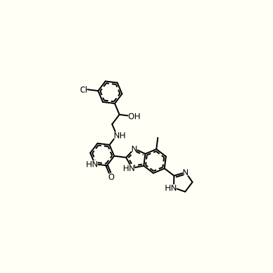 Cc1cc(C2=NCCN2)cc2[nH]c(-c3c(NCC(O)c4cccc(Cl)c4)cc[nH]c3=O)nc12